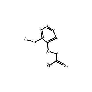 CCOc1ccccc1OCC(=O)Cl